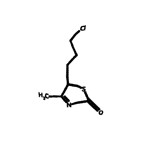 CC1=NC(=O)SC1CCCCl